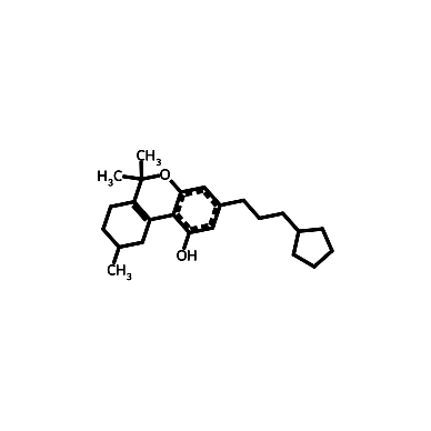 CC1CCC2=C(C1)c1c(O)cc(CCCC3CCCC3)cc1OC2(C)C